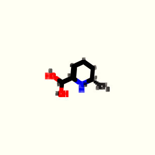 OC(O)C1=CCC[C@H](C(F)(F)F)N1